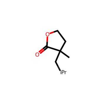 CC(C)CC1(C)CCOC1=O